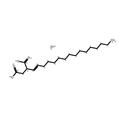 CCCCCCCCCCCCCCC=CC(CC(=O)[O-])C(=O)[O-].[Zn+2]